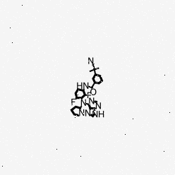 CC(C)(C#N)c1cccc(C(=O)Nc2ccc(F)c(N(c3ccccn3)c3ncnc4[nH]cnc34)c2F)c1